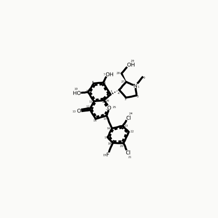 CN1CC[C@H](c2c(O)cc(O)c3c(=O)cc(-c4cc(F)c(Cl)cc4Cl)oc23)[C@H]1CO